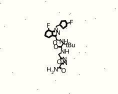 CC(C)(C)C(NC(=O)c1nn(Cc2ccc(F)cc2)c2c(F)cccc12)C(=O)NCc1nnc(C(N)=O)o1